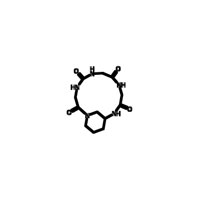 O=C1CNC(=O)NCC(=O)N2CCCC(C2)NC(=O)CN1